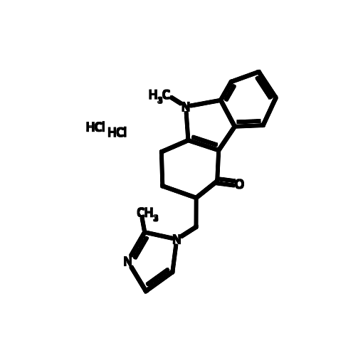 Cc1nccn1CC1CCc2c(c3ccccc3n2C)C1=O.Cl.Cl